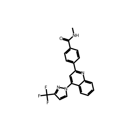 CNC(=O)c1ccc(-c2cc(-n3ccc(C(F)(F)F)n3)c3ccccc3n2)cc1